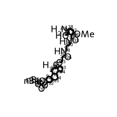 CCCCOP(=O)(OCCCC)Oc1ccc2c(c1)CCC1C2CCC2(C)C(OCCC(=O)NCCCNC(=O)c3c(OC)ccc(N)c3O)CCC12